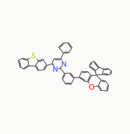 c1ccc(-c2cc(-c3ccc4c(c3)sc3ccccc34)nc(-c3cccc(-c4ccc5c(c4)Oc4ccccc4C54c5ccccc5-c5ccccc54)c3)n2)cc1